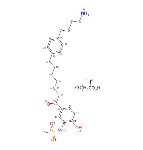 CC(=O)O.CC(=O)O.CS(=O)(=O)Nc1cc([C@@H](O)CNCCCCc2ccc(CCCCN)cc2)ccc1O